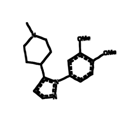 COc1ccc(-n2nccc2C2CCN(C)CC2)cc1OC